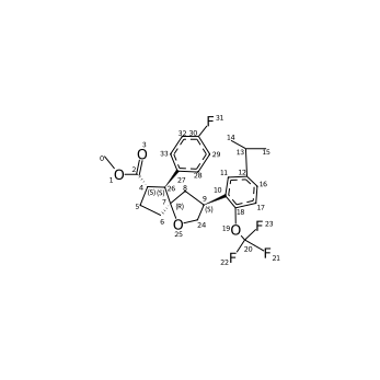 COC(=O)[C@H]1CC[C@@]2(C[C@@H](c3cc(C(C)C)ccc3OC(F)(F)F)CO2)[C@@H]1c1ccc(F)cc1